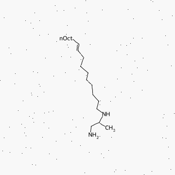 CCCCCCCCC=CCCCCCCCCNC(C)CN